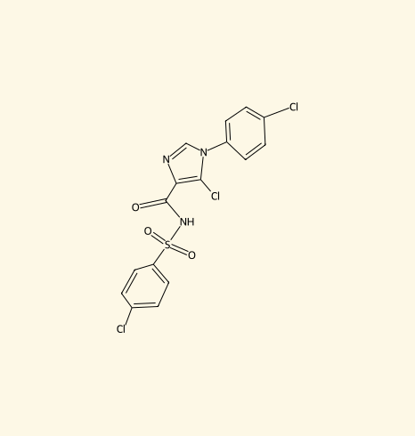 O=C(NS(=O)(=O)c1ccc(Cl)cc1)c1ncn(-c2ccc(Cl)cc2)c1Cl